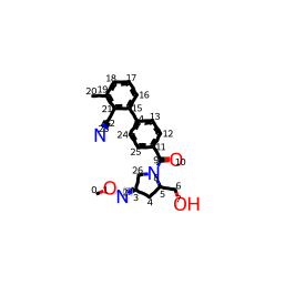 CO/N=C1/CC(CO)N(C(=O)c2ccc(-c3cccc(C)c3C#N)cc2)C1